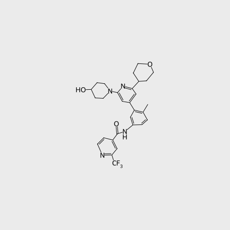 Cc1ccc(NC(=O)c2ccnc(C(F)(F)F)c2)cc1-c1cc(C2CCOCC2)nc(N2CCC(O)CC2)c1